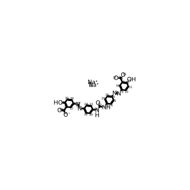 O=C(Nc1ccc(N=Nc2ccc(O)c(C(=O)[O-])c2)cc1)Nc1ccc(N=Nc2ccc(O)c(C(=O)[O-])c2)cc1.[Na+].[Na+]